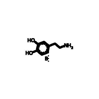 NCCc1ccc(O)c(O)c1.[B]